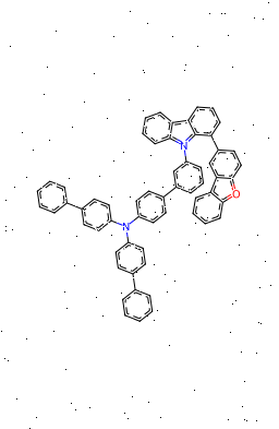 c1ccc(-c2ccc(N(c3ccc(-c4ccccc4)cc3)c3ccc(-c4cccc(-n5c6ccccc6c6cccc(-c7ccc8oc9ccccc9c8c7)c65)c4)cc3)cc2)cc1